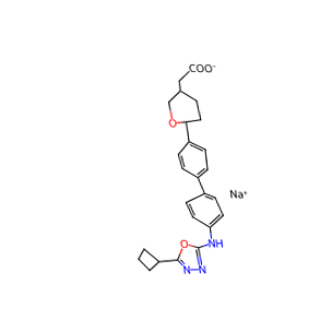 O=C([O-])CC1CCC(c2ccc(-c3ccc(Nc4nnc(C5CCC5)o4)cc3)cc2)OC1.[Na+]